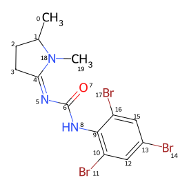 CC1CCC(=NC(=O)Nc2c(Br)cc(Br)cc2Br)N1C